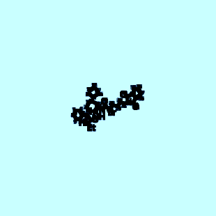 CCNC(=O)C(c1ccccc1)N1CC[C@H](C2C=CC=CC2)CC(NC(=O)C(Br)CCCCN2C(=O)c3ccccc3C2=O)C1=O